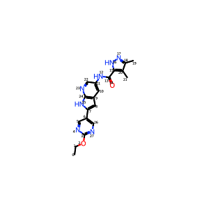 CCOc1ncc(-c2cc3cc(NC(=O)c4[nH]nc(C)c4C)cnc3[nH]2)cn1